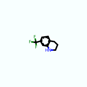 FC(F)(F)c1ccc2c(c1)NCCC2